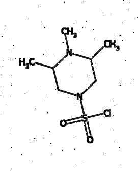 CC1CN(S(=O)(=O)Cl)CC(C)N1C